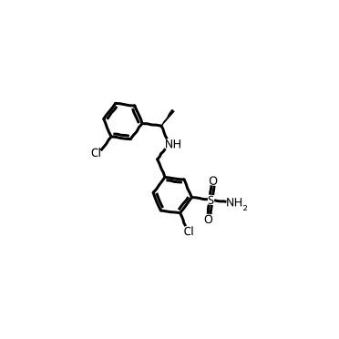 C[C@@H](NCc1ccc(Cl)c(S(N)(=O)=O)c1)c1cccc(Cl)c1